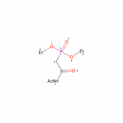 CCOP(=O)(CC(=O)NC(C)=O)OCC